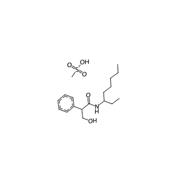 CCCCCC(CC)NC(=O)C(CO)c1ccccc1.CS(=O)(=O)O